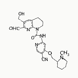 CN1CCCCC1COc1cc(NC(=O)N2CCCc3cc(CO)c(C=O)nc32)ncc1C#N